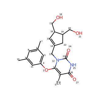 CCc1c(Oc2cc(C)cc(C)c2)n(CC2=CC(CO)C(CO)C2)c(=O)[nH]c1=O